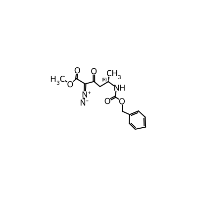 COC(=O)C(=[N+]=[N-])C(=O)C[C@@H](C)NC(=O)OCc1ccccc1